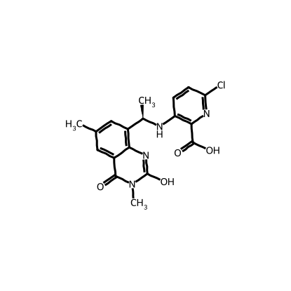 Cc1cc([C@@H](C)Nc2ccc(Cl)nc2C(=O)O)c2nc(O)n(C)c(=O)c2c1